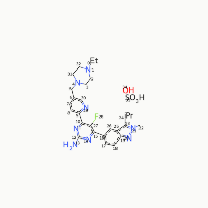 CCN1CCN(Cc2ccc(-c3nc(N)nc(-c4ccc5nn(C)c(C(C)C)c5c4)c3F)nc2)CC1.O=S(=O)(O)O